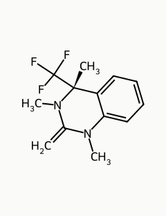 C=C1N(C)c2ccccc2[C@@](C)(C(F)(F)F)N1C